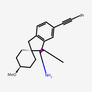 CO[C@H]1CC[C@]2(CC1)Cc1ccc(C#CC(C)C)cc1[C@@]21N=C(C)C(N)=N1